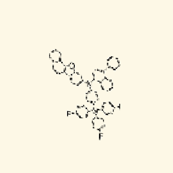 Fc1ccc([Si](c2ccc(F)cc2)(c2ccc(F)cc2)c2ccc(N(c3ccc4c(c3)oc3c5ccccc5ccc43)c3ccc(-c4ccccc4)c4ccccc34)cc2)cc1